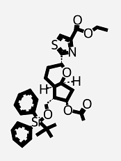 CCOC(=O)c1csc([C@H]2CC[C@@H]3[C@@H](CO[Si](c4ccccc4)(c4ccccc4)C(C)(C)C)[C@H](OC(C)=O)C[C@@H]3O2)n1